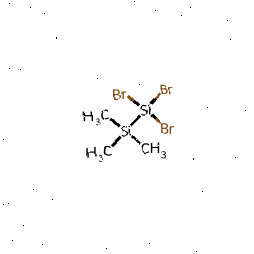 C[Si](C)(C)[Si](Br)(Br)Br